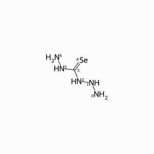 NNNC(=[Se])NN